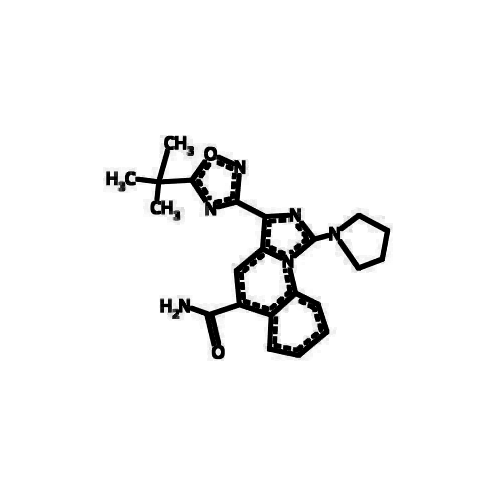 CC(C)(C)c1nc(-c2nc(N3CCCC3)n3c2cc(C(N)=O)c2ccccc23)no1